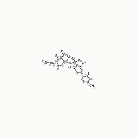 Cc1ccc(-c2cc(F)c(C(F)(F)Oc3cc(F)c4c(F)c(C#CC(F)(F)F)c(F)cc4c3)c(F)c2)c(F)c1